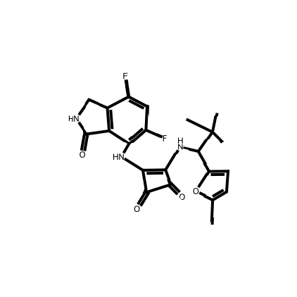 Cc1ccc(C(Nc2c(Nc3c(F)cc(F)c4c3C(=O)NC4)c(=O)c2=O)C(C)(C)C)o1